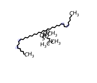 CCCCC/C=C\C/C=C\CCCCCCCCC(CCCCCCCC/C=C\C/C=C\CCCCC)OP(=S)(OCCN(C)C)OOC